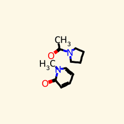 CC(=O)N1CCCC1.Cn1ccccc1=O